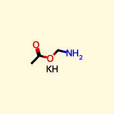 CC(=O)OCN.[KH]